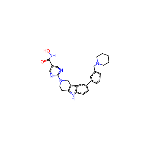 O=C(NO)c1cnc(N2CCc3[nH]c4ccc(-c5cccc(CN6CCCCC6)c5)cc4c3C2)nc1